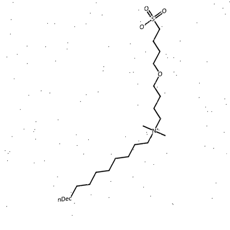 CCCCCCCCCCCCCCCCCC[N+](C)(C)CCCCOCCCCS(=O)(=O)[O-]